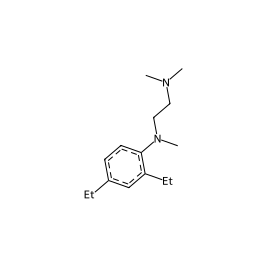 CCc1ccc(N(C)CCN(C)C)c(CC)c1